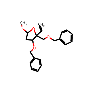 C=CC1(COCc2ccccc2)OC(OC)CC1OCc1ccccc1